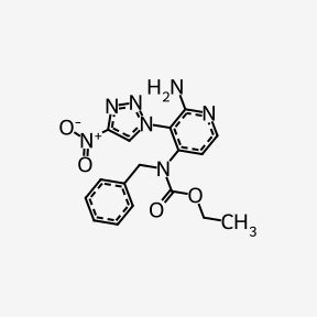 CCOC(=O)N(Cc1ccccc1)c1ccnc(N)c1-n1cc([N+](=O)[O-])nn1